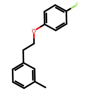 Cc1cccc(CCOc2ccc(F)cc2)c1